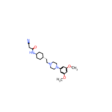 COc1cc(OC)cc(N2CCN(CC[C@H]3CC[C@H](NC(=O)CC#N)CC3)CC2)c1